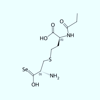 CCC(=O)N[C@@H](CCSC[C@H](N)C(O)=[Se])C(=O)O